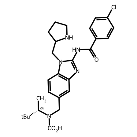 C[C@H](N(Cc1ccc2c(c1)nc(NC(=O)c1ccc(Cl)cc1)n2CC1CCCN1)C(=O)O)C(C)(C)C